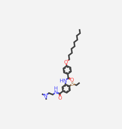 CCCCCCCCCCOc1ccc(C(=O)Nc2cc(C(=O)NCCN(C)C)ccc2SCC)cc1